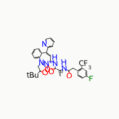 C[C@H](NC(=O)Cc1ccc(F)cc1C(F)(F)F)C(=O)NC1C=C(c2ccccn2)c2ccccc2N(CC(=O)C(C)(C)C)[N+]1=O